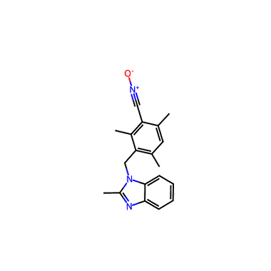 Cc1cc(C)c(Cn2c(C)nc3ccccc32)c(C)c1C#[N+][O-]